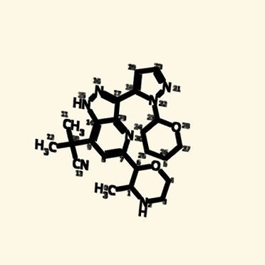 CC1NCCOC1c1cc(C(C)(C)C#N)c2[nH]nc(-c3ccnn3C3CCCCO3)c2n1